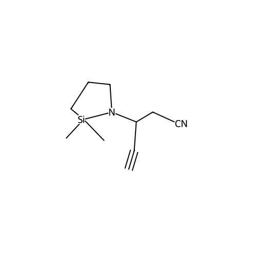 C#CC(CC#N)N1CCC[Si]1(C)C